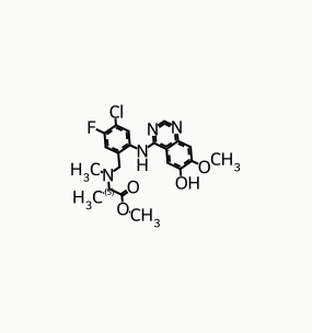 COC(=O)[C@H](C)N(C)Cc1cc(F)c(Cl)cc1Nc1ncnc2cc(OC)c(O)cc12